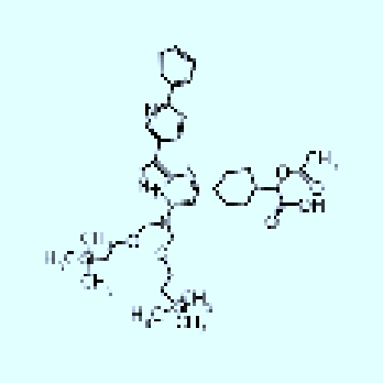 CC(=O)OC(C(=O)O)[C@H]1CC[C@H](c2cc(N(COCC[Si](C)(C)C)COCC[Si](C)(C)C)n3ncc(-c4ccc(-c5ccccc5)nc4)c3n2)CC1